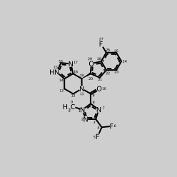 Cn1nc(C(F)F)nc1C(=O)N1CCc2[nH]cnc2[C@H]1c1cc2cccc(F)c2o1